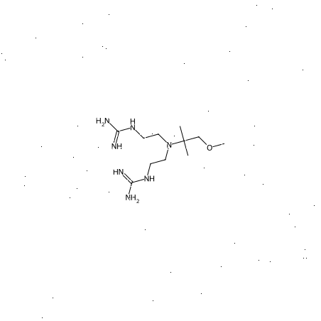 COCC(C)(C)N(CCNC(=N)N)CCNC(=N)N